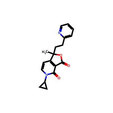 CC1(CCc2ccccn2)OC(=O)c2c1ccn(C1CC1)c2=O